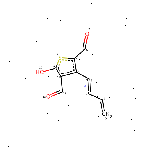 C=C/C=C/c1c(C=O)sc(O)c1C=O